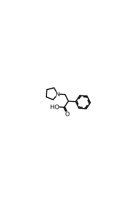 O=C(O)C(CN1CCCC1)c1ccccc1